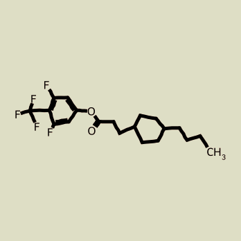 CCCCC1CCC(CCC(=O)Oc2cc(F)c(C(F)(F)F)c(F)c2)CC1